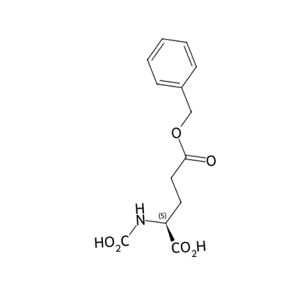 O=C(O)N[C@@H](CCC(=O)OCc1ccccc1)C(=O)O